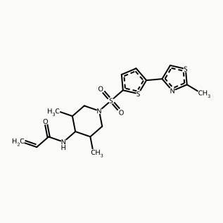 C=CC(=O)NC1C(C)CN(S(=O)(=O)c2ccc(-c3csc(C)n3)s2)CC1C